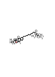 CCCCC1=C(C(=O)OOC(C)(C)C)CC(CCCCCCCCCC(=O)OOC(C)(C)C)CC1